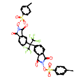 Cc1ccc(S(=O)(=O)ON2C(=O)c3ccc(C(c4ccc5c(c4)C(=O)N(OS(=O)(=O)c4ccc(C)cc4)C5=O)(C(F)(F)F)C(F)(F)F)cc3C2=O)cc1